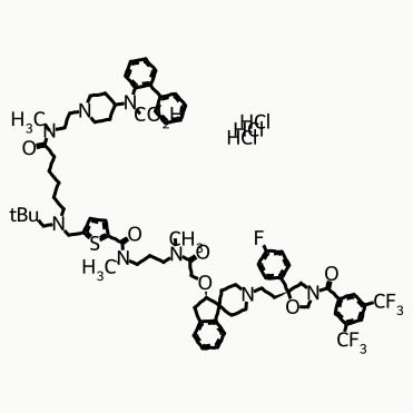 CN(CCN1CCC(N(C(=O)O)c2ccccc2-c2ccccc2)CC1)C(=O)CCCCCN(Cc1ccc(C(=O)N(C)CCCN(C)C(=O)CO[C@H]2Cc3ccccc3C23CCN(CC[C@@]2(c4ccc(F)cc4)CN(C(=O)c4cc(C(F)(F)F)cc(C(F)(F)F)c4)CO2)CC3)s1)CC(C)(C)C.Cl.Cl.Cl